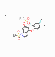 CCS(=O)(=O)n1ccc2c(Oc3ccc(F)cc3F)cc(OS(=O)(=O)C(F)(F)F)cc21